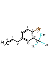 C=CCc1ccc(Br)c(C(F)(F)F)c1